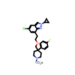 O=C(O)N1CCC(COCCc2cc(Cl)cc3cn(C4CC4)nc23)(c2ccc(F)cc2)CC1